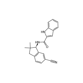 CC1(C)Cc2ccc(C#N)cc2[C@@H]1NC(=O)c1cc2ccccc2[nH]1